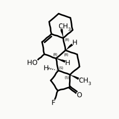 C[C@]12CCCCC1=CC(O)[C@@H]1[C@H]2CC[C@]2(C)C(=O)C(F)C[C@@H]12